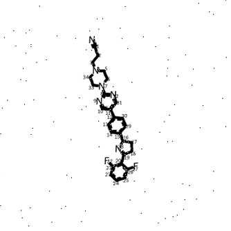 N#CCCN1CCN(c2ncc(-c3ccc(C4CCC(c5c(F)cccc5F)=N4)cc3)cn2)CC1